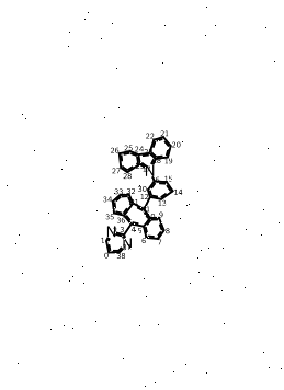 c1cnc(-c2c3ccccc3c(-c3cccc(-n4c5ccccc5c5ccccc54)c3)c3ccccc23)nc1